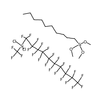 CCCCCCCCCC[Si](OC)(OC)OC.FC(F)(F)C(F)(F)C(F)(F)C(F)(F)C(F)(F)C(F)(F)C(F)(F)C(F)(F)C(F)(F)C(F)(F)[Si](Cl)(Cl)C(F)(F)F